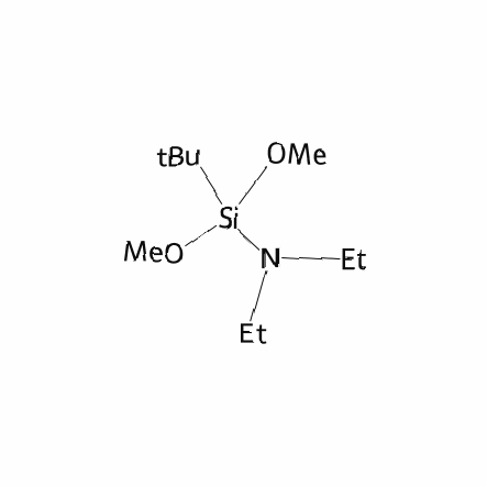 CCN(CC)[Si](OC)(OC)C(C)(C)C